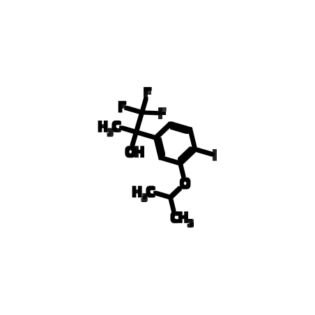 CC(C)Oc1cc(C(C)(O)C(F)(F)F)ccc1I